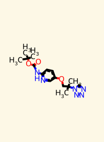 CC(C)(C)OC(=O)Nc1ccc(OCC(C)(C)n2cnnn2)cn1